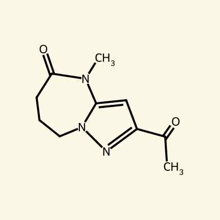 CC(=O)c1cc2n(n1)CCCC(=O)N2C